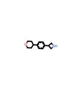 c1cc(C2CNC2)ccc1C1CCOCC1